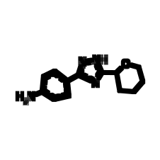 Nc1ccc(-c2n[nH]c(C3CCCCO3)n2)cc1